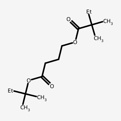 CCC(C)(C)OC(=O)CCCOC(=O)C(C)(C)CC